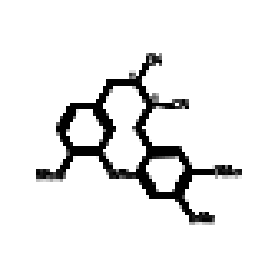 COc1ccc(C[C@@H](C#N)[C@@H](C#N)Cc2ccc(OC)c(OC)c2)cc1OC